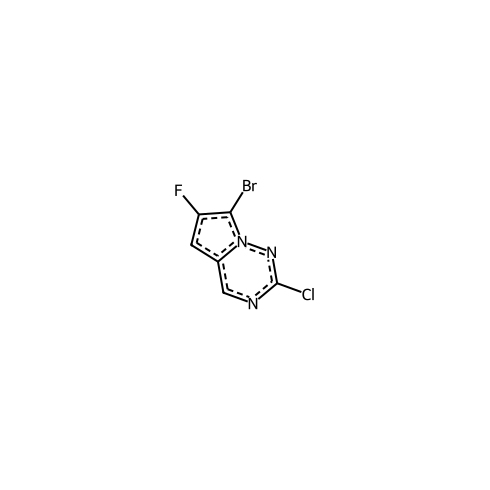 Fc1cc2cnc(Cl)nn2c1Br